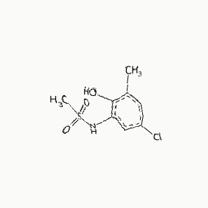 Cc1cc(Cl)cc(NS(C)(=O)=O)c1O